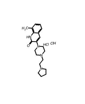 Cc1cccc2cc(N3CCN(CCN4CCCC4)CC3)c(=O)[nH]c12.Cl.Cl